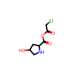 O=C(CCl)OC(=O)C1CC(O)CN1